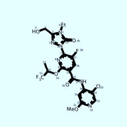 CCn1c(CO)nn(-c2nc(OC(C)C(F)(F)F)c(C(=O)Nc3cc(OC)ncc3Cl)cc2F)c1=O